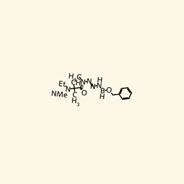 CCN(NC)C(C)(C)C(=O)N(C)N=NNBOCc1ccccc1